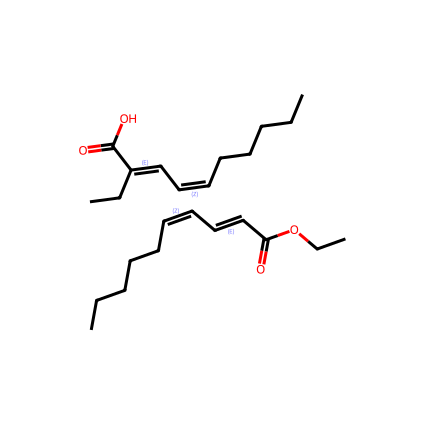 CCCCC/C=C\C=C(/CC)C(=O)O.CCCCC/C=C\C=C\C(=O)OCC